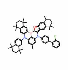 Cc1cc2c3c(c1)N(c1ccc(-c4ccccc4F)cc1)c1c(oc4cc5c(cc14)C(C)(C)CCC5C)B3c1cc3c(cc1N2c1ccc2c(c1)C(C)(C)CCC2(C)C)C(C)(C)CCC3(C)C